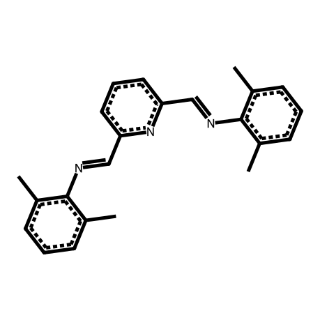 Cc1cccc(C)c1/N=C/c1cccc(/C=N/c2c(C)cccc2C)n1